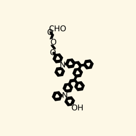 O=COCCOCCOc1ccc(N(c2ccccc2)c2ccc(C=C(c3ccccc3)c3ccc(C(=Cc4ccc(N(c5ccccc5)c5ccc(O)cc5)cc4)c4ccccc4)cc3)cc2)cc1